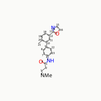 CNCCC(=O)Nc1ccc(-c2cc(-c3ncco3)ccc2C)cc1